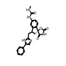 CNC(=O)Nc1ccc2c(c1)C(Cc1ncc(-c3ccccc3)[nH]1)C[C@@]21OC(=O)NC1=O